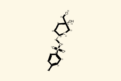 Cc1ccc(S(=O)(=O)OC[C@H]2CC[C@](O)(CCl)CC2)cc1